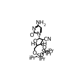 CC(C)[Si]1(C(C)C)OC[C@H]2O[C@@H](n3ccc(N)nc3=O)[C@@H](C#N)[C@@H]2O[Si](C(C)C)(C(C)C)O1